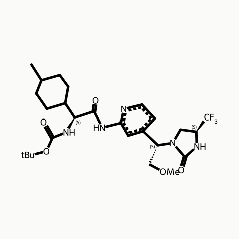 COC[C@H](c1ccnc(NC(=O)[C@@H](NC(=O)OC(C)(C)C)C2CCC(C)CC2)c1)N1C[C@@H](C(F)(F)F)NC1=O